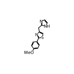 COc1ccc(-c2nc(Cc3ncc[nH]3)cs2)cc1